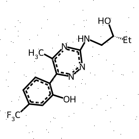 CC[C@@H](O)CNc1nnc(-c2ccc(C(F)(F)F)cc2O)c(C)n1